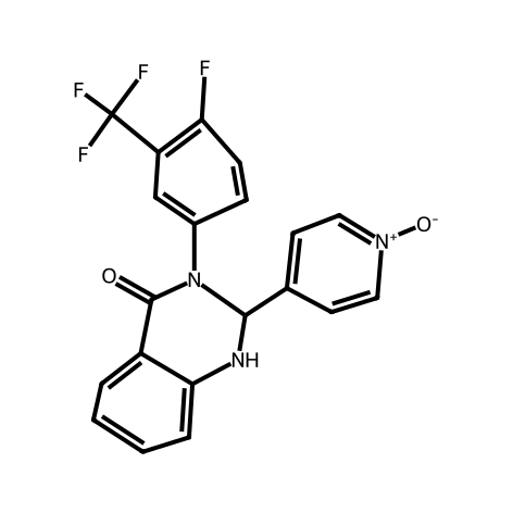 O=C1c2ccccc2NC(c2cc[n+]([O-])cc2)N1c1ccc(F)c(C(F)(F)F)c1